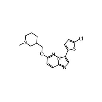 CN1CCCC(COc2ccc3ncc(-c4ccc(Cl)s4)n3n2)C1